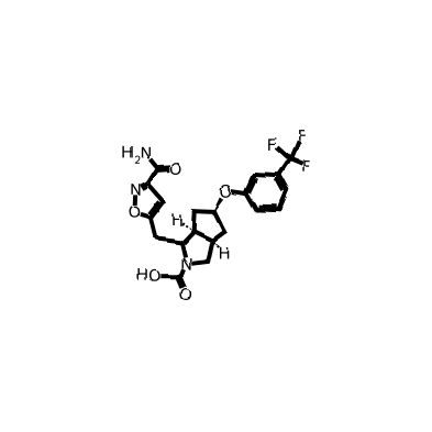 NC(=O)c1cc(CC2[C@H]3C[C@@H](Oc4cccc(C(F)(F)F)c4)C[C@H]3CN2C(=O)O)on1